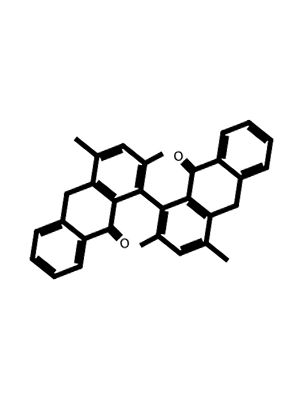 Cc1cc(C)c(-c2c(C)cc(C)c3c2C(=O)c2ccccc2C3)c2c1Cc1ccccc1C2=O